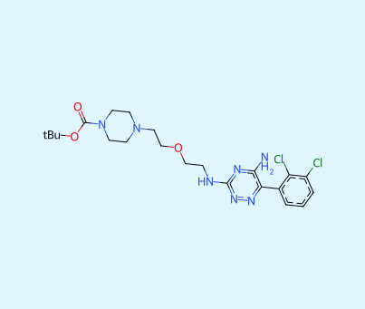 CC(C)(C)OC(=O)N1CCN(CCOCCNc2nnc(-c3cccc(Cl)c3Cl)c(N)n2)CC1